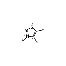 Cc1sc[n+](C)c1C